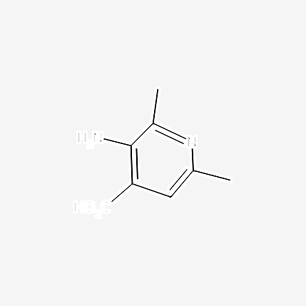 Cc1cc(C(=O)O)c(N)c(C)n1